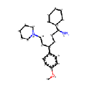 COc1ccc(C(CCC(N)C2CCCCC2)CCN2CCCCC2)cc1